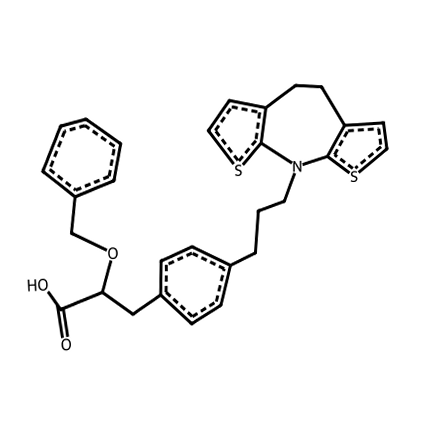 O=C(O)C(Cc1ccc(CCCN2c3sccc3CCc3ccsc32)cc1)OCc1ccccc1